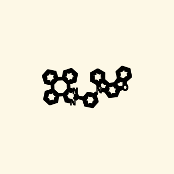 c1cc(-c2ncc3c(n2)-c2ccccc2-c2ccccc2-c2ccccc2-3)cc(-n2c3ccccc3c3c4c(ccc32)oc2ccccc24)c1